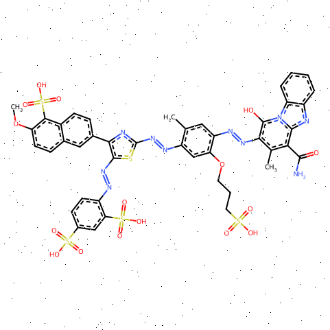 COc1ccc2cc(-c3nc(N=Nc4cc(OCCCS(=O)(=O)O)c(N=Nc5c(C)c(C(N)=O)c6nc7ccccc7n6c5O)cc4C)sc3N=Nc3ccc(S(=O)(=O)O)cc3S(=O)(=O)O)ccc2c1S(=O)(=O)O